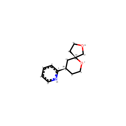 c1ccc([C@@H]2CCO[C@]3(CCOC3)C2)nc1